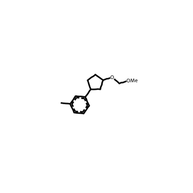 COCOC1CCC(c2[c]c(C)ccc2)C1